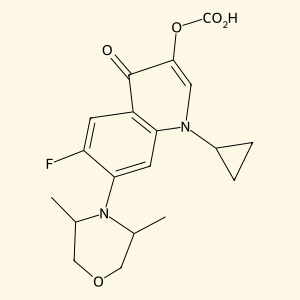 CC1COCC(C)N1c1cc2c(cc1F)c(=O)c(OC(=O)O)cn2C1CC1